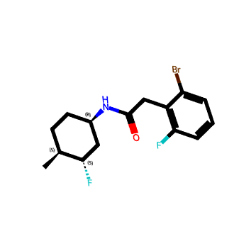 C[C@H]1CC[C@@H](NC(=O)Cc2c(F)cccc2Br)C[C@@H]1F